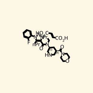 CCCc1c(C(=O)N(CC(C)C)[C@@H]2CNC[C@H](C(=O)N3CCOCC3)C2)nnn1-c1ccccc1F.O=C(O)C=CC(=O)O